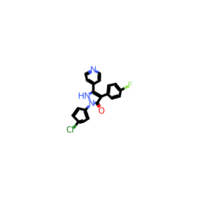 O=c1c(-c2ccc(F)cc2)c(-c2ccncc2)[nH]n1-c1ccc(Cl)cc1